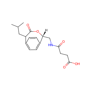 CC(C)CC1C(=O)O[C@H](CNC(=O)CCC(=O)O)c2ccc1cc2